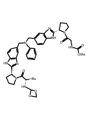 CC[C@H](C)[C@H](NC1OCO1)C(=O)N1CCC[C@H]1c1nc2cc(CN(Cc3ccc4[nH]c([C@@H]5CCCN5C(=O)CNC(=O)OC)nc4c3)c3ccccc3)ccc2[nH]1